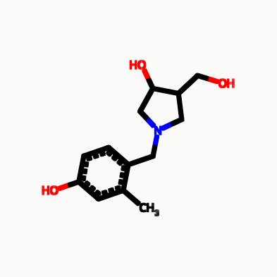 Cc1cc(O)ccc1CN1CC(O)C(CO)C1